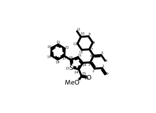 C=C/C=C(\C(=C/C)C1CCC(C)CC1)c1cc(-c2ccccc2)sc1C(=O)OC